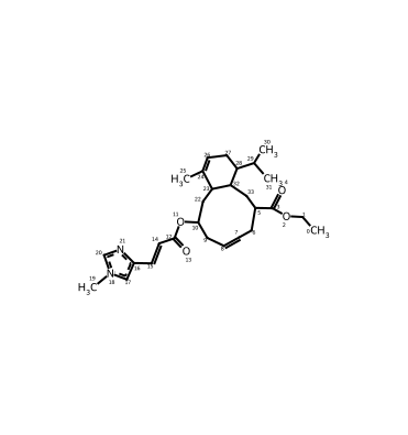 CCOC(=O)C1CC=CCC(OC(=O)C=Cc2cn(C)cn2)CC2C(C)=CCC(C(C)C)C2C1